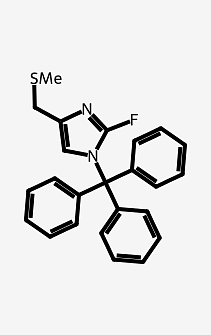 CSCc1cn(C(c2ccccc2)(c2ccccc2)c2ccccc2)c(F)n1